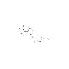 CSN1CCC(Nc2ncc(C(F)(F)F)c(-c3ncn(C)c3C)n2)CC1